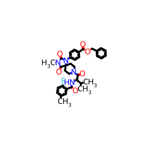 Cc1ccc(F)c(C(=O)N[C@@H](C(=O)N2CCC3(CC2)C(=O)N(C)C(=O)N3c2ccc(C(=O)OCc3ccccc3)cc2)C(C)C)c1